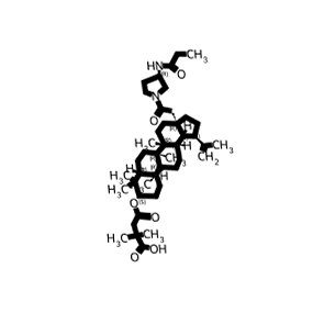 C=C(C)[C@@H]1CC[C@]2(CC(=O)N3CC[C@@H](NC(=O)CC)C3)CC[C@]3(C)[C@H](CC[C@@H]4[C@@]5(C)CC[C@H](OC(=O)CC(C)(C)C(=O)O)C(C)(C)[C@@H]5CC[C@]43C)[C@@H]12